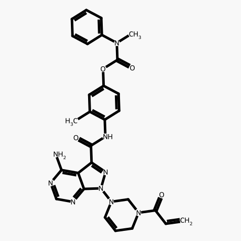 C=CC(=O)N1CC=CN(n2nc(C(=O)Nc3ccc(OC(=O)N(C)c4ccccc4)cc3C)c3c(N)ncnc32)C1